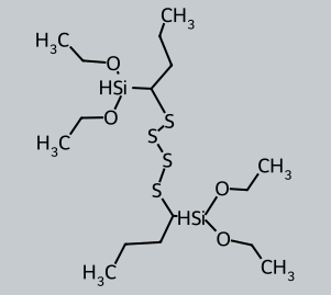 CCCC(SSSSC(CCC)[SiH](OCC)OCC)[SiH](OCC)OCC